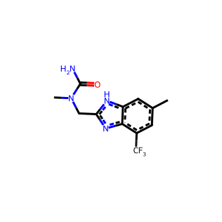 Cc1cc(C(F)(F)F)c2nc(CN(C)C(N)=O)[nH]c2c1